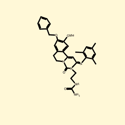 COc1cc2c(cc1OCc1ccccc1)CCn1c-2cc(=Nc2c(C)cc(C)cc2C)n(CCNC(N)=O)c1=O